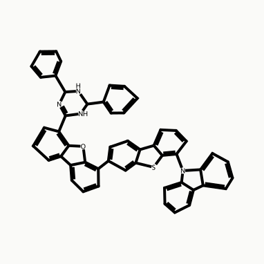 c1ccc(C2N=C(c3cccc4c3oc3c(-c5ccc6c(c5)sc5c(-n7c8ccccc8c8ccccc87)cccc56)cccc34)NC(c3ccccc3)N2)cc1